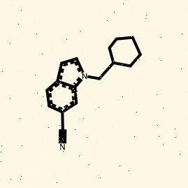 N#Cc1ccc2ccn(CC3CCCCC3)c2c1